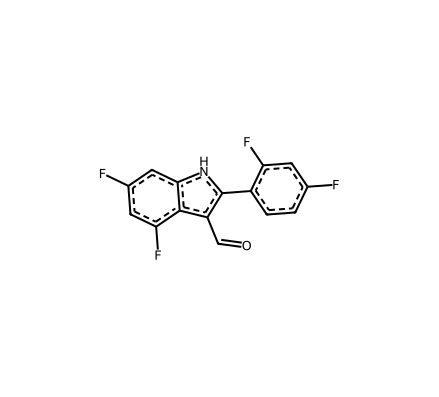 O=Cc1c(-c2ccc(F)cc2F)[nH]c2cc(F)cc(F)c12